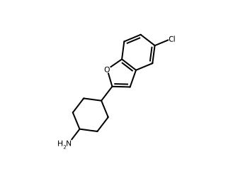 NC1CCC(c2cc3cc(Cl)ccc3o2)CC1